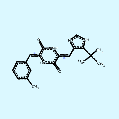 CC(C)(C)c1[nH]cnc1/C=c1\[nH]c(=O)/c(=C/c2cccc(N)c2)[nH]c1=O